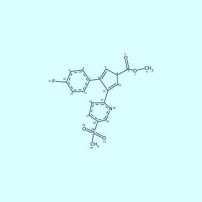 COC(=O)C1C=C(c2ccc(F)cc2)C(c2ccc(S(C)(=O)=O)cn2)=C1